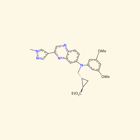 CCOC(=O)[C@@H]1C[C@H]1CN(c1cc(OC)cc(OC)c1)c1ccc2ncc(-c3cnn(C)c3)nc2c1